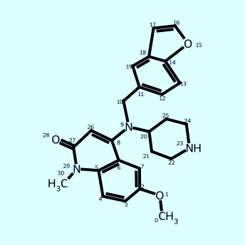 COc1ccc2c(c1)c(N(Cc1ccc3occc3c1)C1CCNCC1)cc(=O)n2C